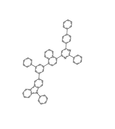 c1ccc(-c2ccc(-c3cc(-c4ccc(-c5cc(-c6ccccc6)cc(-c6ccc7c(c6)c6ccccc6n7-c6ccccc6)c5)c5ccccc45)nc(-c4ccccc4)n3)cc2)cc1